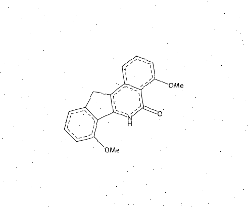 COc1cccc2c1-c1[nH]c(=O)c3c(OC)cccc3c1C2